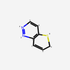 C1=Cc2nnccc2SC1